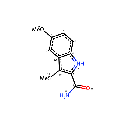 COc1ccc2[nH]c(C(N)=O)c(SC)c2c1